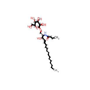 CCCCCCCCCCCCC/C=C/[C@@H](O)[C@@H](COC1OC(CO)C(O)C(O)C1O)NC(=O)CCC